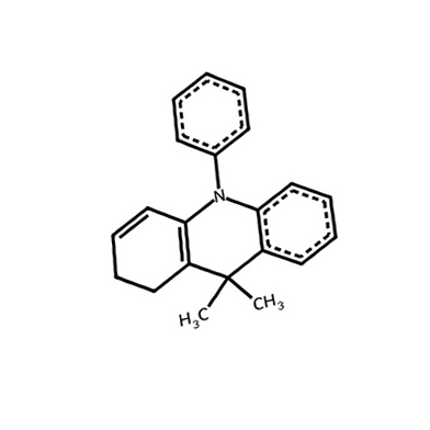 CC1(C)C2=C(C=CCC2)N(c2ccccc2)c2ccccc21